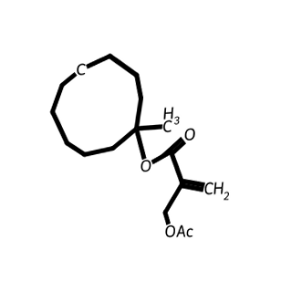 C=C(COC(C)=O)C(=O)OC1(C)CCCCCCCCC1